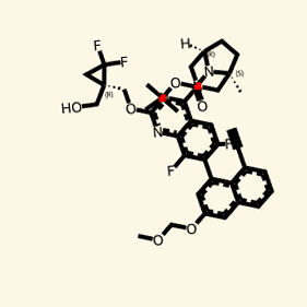 C#Cc1cccc2cc(OCOC)cc(-c3c(F)cc4c(N5C[C@H]6CC[C@@](C)(C5)N6C(=O)OC(C)(C)C)nc(OC[C@]5(CO)CC5(F)F)nc4c3F)c12